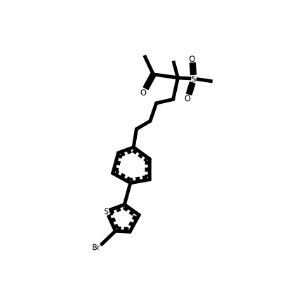 CC(=O)C(C)(CCCCc1ccc(-c2ccc(Br)s2)cc1)S(C)(=O)=O